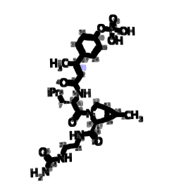 C/C(=C\C(=O)N[C@@H](CC(C)C)C(=O)N1CC2C(C)C2[C@H]1C(=O)NCCNC(N)=O)c1ccc(OP(=O)(O)O)cc1